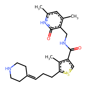 Cc1cc(C)c(CNC(=O)c2csc(CCC=C3CCNCC3)c2C)c(=O)[nH]1